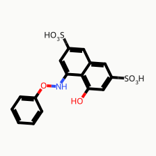 O=S(=O)(O)c1cc(O)c2c(NOc3ccccc3)cc(S(=O)(=O)O)cc2c1